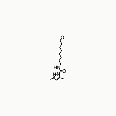 Cc1cc(C)n(C(=O)NCCCCCCCC=O)n1